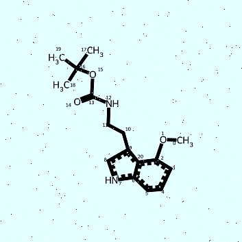 COc1cccc2[nH]cc(CCNC(=O)OC(C)(C)C)c12